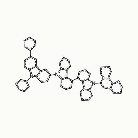 c1ccc(-c2ccc3c(c2)c2cc(-n4c5ccccc5c5c(-c6cccc7c6c6ccccc6n7-c6cc7ccccc7c7ccccc67)cccc54)ccc2n3-c2ccccc2)cc1